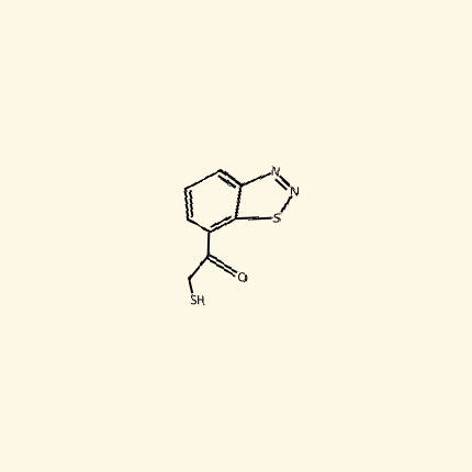 O=C(CS)c1cccc2nnsc12